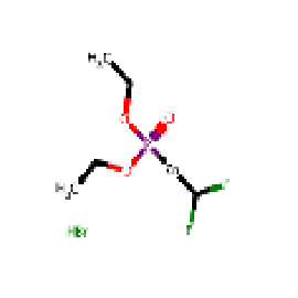 Br.CCO[P](=O)(OCC)[Zn][CH](F)F